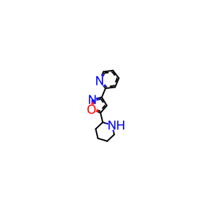 c1ccc(-c2cc(C3CCCCN3)on2)nc1